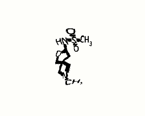 CN1CC2(COC(NS(C)(=O)=O)C2)C1